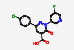 O=C(O)c1cc(-c2ccc(Cl)cc2)nn(-c2cncc(F)c2)c1=O